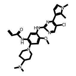 C=CC(=O)Nc1cc(Nc2ncc(Cl)c(-c3ccn(C)c3C)n2)c(OC)cc1N1CCC(N(C)C)CC1